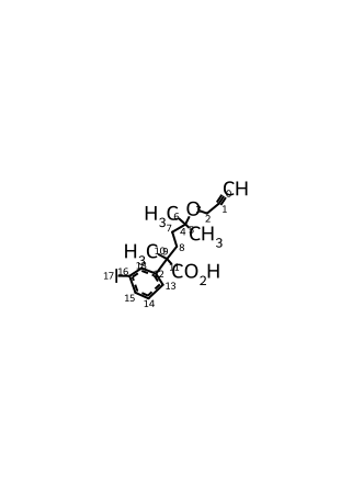 C#CCOC(C)(C)CCC(C)(C(=O)O)c1cccc(I)c1